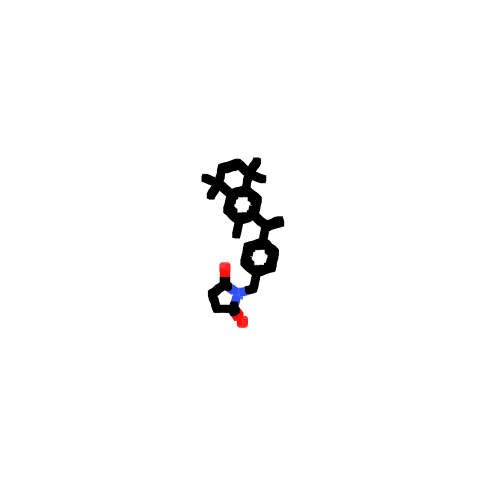 C=C(c1ccc(CN2C(=O)CCC2=O)cc1)c1cc2c(cc1C)C(C)(C)C=CC2(C)C